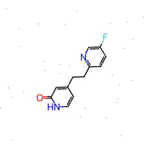 O=c1cc(CCc2ccc(F)cn2)cc[nH]1